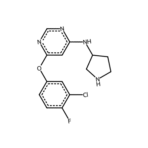 Fc1ccc(Oc2cc(NC3CCNC3)ncn2)cc1Cl